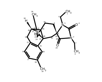 CCN1C(=O)N(CC)[C@]2(CC[C@@]3(O)[C@H]4Cc5ccc(C)cc5[C@@]3(CCN4C)C2)C1=O